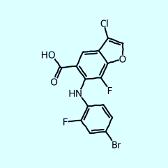 O=C(O)c1cc2c(Cl)coc2c(F)c1Nc1ccc(Br)cc1F